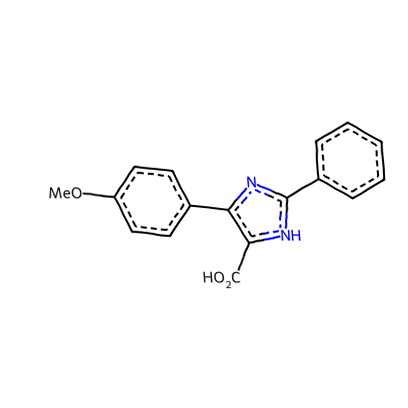 COc1ccc(-c2nc(-c3ccccc3)[nH]c2C(=O)O)cc1